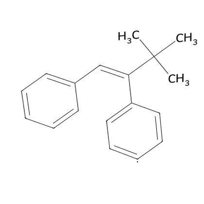 CC(C)(C)C(=Cc1ccccc1)c1cc[c]cc1